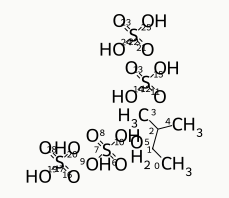 CCC(C)C.O.O=S(=O)(O)O.O=S(=O)(O)O.O=S(=O)(O)O.O=S(=O)(O)O